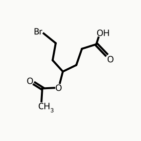 CC(=O)OC(CCBr)CCC(=O)O